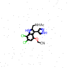 CC(=O)NCc1[nH]c2c(Cl)c(Cl)cc(OCC#N)c2c1-c1cn[nH]c1